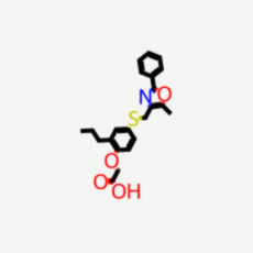 CCCc1cc(SCc2nc(-c3ccccc3)oc2C)ccc1OCC(=O)O